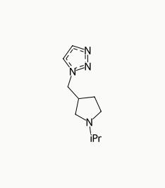 CC(C)N1CCC(Cn2ccnn2)C1